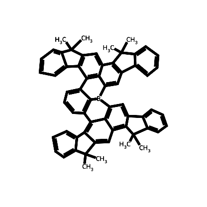 CC1(C)c2ccccc2-c2c1cc1c3c(cc4c1c2-c1cccc2c1B4c1cc4c(c5cc6c(c-2c15)-c1ccccc1C6(C)C)C(C)(C)c1ccccc1-4)-c1ccccc1C3(C)C